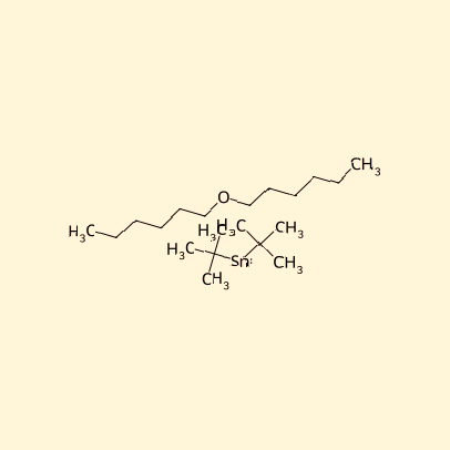 CCCCCCOCCCCCC.C[C](C)(C)[Sn][C](C)(C)C